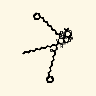 CCCCCCCCCCCCC(OC(=O)CCCCCCCCc1ccccc1)C(=O)N[C@H]1CO[C@@H]2COC(C)(C)O[C@H]2[C@@H]1OC(=O)CCCCCCCCc1ccccc1